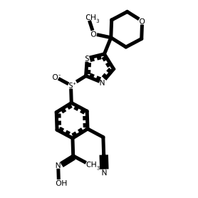 COC1(c2cnc([S+]([O-])c3ccc(/C(C)=N/O)c(CC#N)c3)s2)CCOCC1